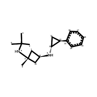 CC(C)(C)N[C@]1(C)C[C@@H](N[C@@H]2C[C@H]2c2ccccc2)C1